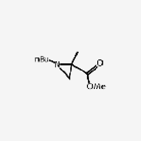 CCCCN1CC1(C)C(=O)OC